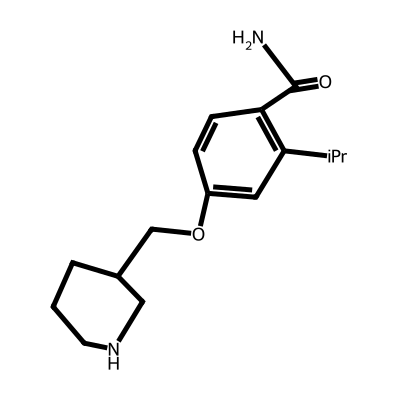 CC(C)c1cc(OCC2CCCNC2)ccc1C(N)=O